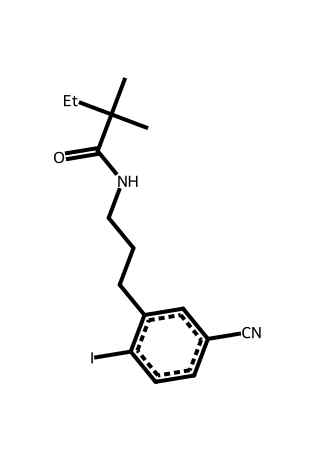 CCC(C)(C)C(=O)NCCCc1cc(C#N)ccc1I